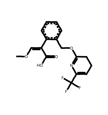 COC=C(C(=O)O)c1ccccc1COC1=NC(C(F)(F)F)=CCC1